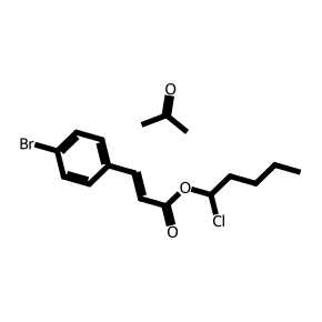 CC(C)=O.CCCCC(Cl)OC(=O)/C=C/c1ccc(Br)cc1